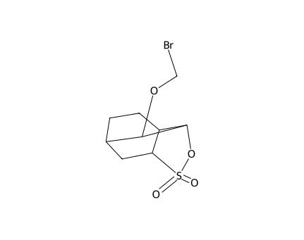 O=S1(=O)OC2C3CCC(CC31)C2OCBr